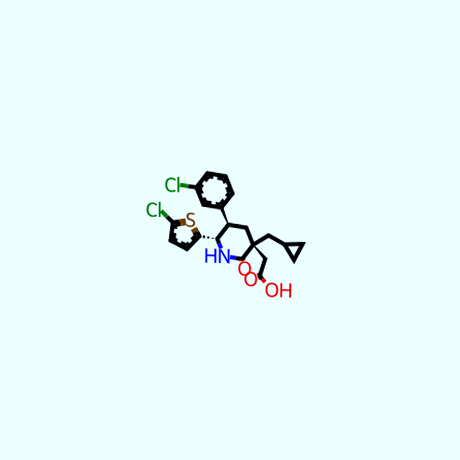 O=C(O)C[C@]1(CC2CC2)C[C@H](c2cccc(Cl)c2)[C@@H](c2ccc(Cl)s2)NC1=O